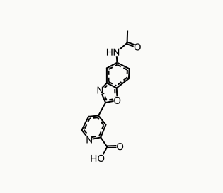 CC(=O)Nc1ccc2oc(-c3ccnc(C(=O)O)c3)nc2c1